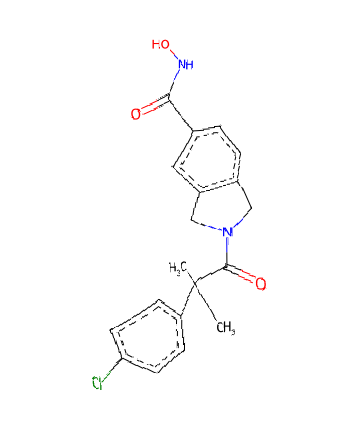 CC(C)(C(=O)N1Cc2ccc(C(=O)NO)cc2C1)c1ccc(Cl)cc1